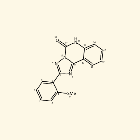 CSc1ccccc1-c1nc2c3ccccc3[nH]c(=O)n2n1